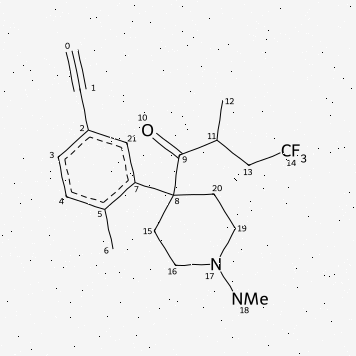 C#Cc1ccc(C)c(C2(C(=O)C(C)CC(F)(F)F)CCN(NC)CC2)c1